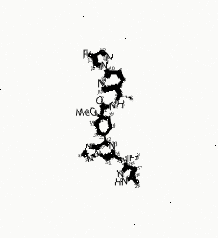 CO[C@]1(C(=O)N[C@@H](C)c2ccc(-n3cc(F)cn3)nc2)CC[C@H](c2nc(Nc3cc(C)[nH]n3)cn3ncnc23)CC1